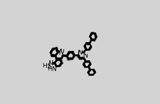 N=C1C=Cc2c(-c3ccc(-c4cc(-c5ccc(-c6ccccc6)cc5)nc(-c5ccc(-c6ccccc6)cc5)n4)cc3)nc3ccccc3c2/C1=N/S